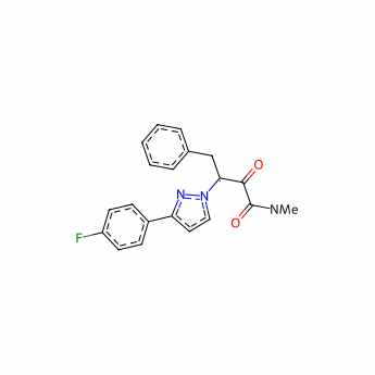 CNC(=O)C(=O)[C](Cc1ccccc1)n1ccc(-c2ccc(F)cc2)n1